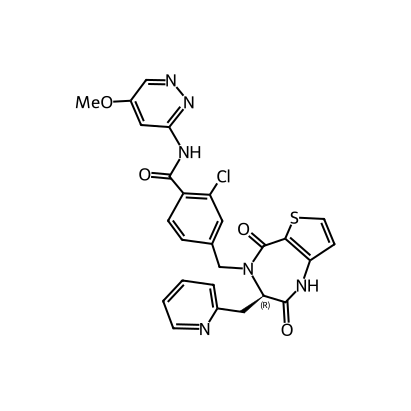 COc1cnnc(NC(=O)c2ccc(CN3C(=O)c4sccc4NC(=O)[C@H]3Cc3ccccn3)cc2Cl)c1